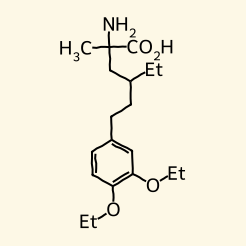 CCOc1ccc(CCC(CC)CC(C)(N)C(=O)O)cc1OCC